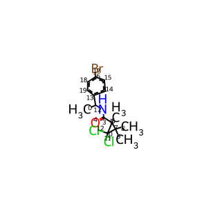 CC(NC(=O)C1(C)C(C)(C)C1(Cl)Cl)c1ccc(Br)cc1